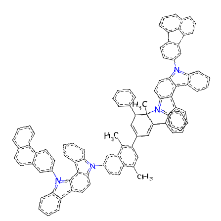 Cc1cc(C2=CC(c3ccccc3)C(C)(n3c4ccccc4c4c5c6ccccc6n(-c6ccc7c(c6)-c6cccc8cccc-7c68)c5ccc43)C(c3ccccc3)=C2)c(C)c2cc(-n3c4ccccc4c4c3ccc3c5ccccc5n(-c5ccc6c(ccc7ccccc76)c5)c34)ccc12